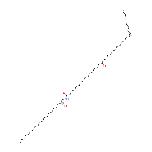 CCCCCCCC/C=C\CCCCCCCCCCCC(=O)CCCCCCCCCCCCCCC(=O)NC[C@H](O)CCCCCCCCCCCCCCCCCC